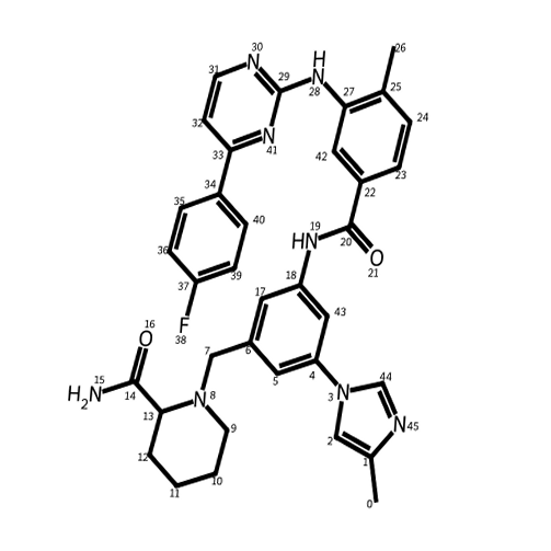 Cc1cn(-c2cc(CN3CCCCC3C(N)=O)cc(NC(=O)c3ccc(C)c(Nc4nccc(-c5ccc(F)cc5)n4)c3)c2)cn1